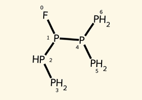 FP(PP)P(P)P